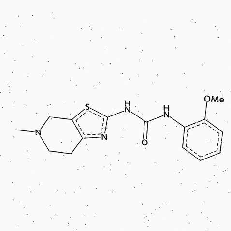 COc1ccccc1NC(=O)Nc1nc2c(s1)CN(C)CC2